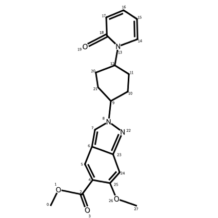 COC(=O)c1cc2cn(C3CCC(n4ccccc4=O)CC3)nc2cc1OC